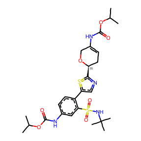 CC(C)OC(=O)NC1=CC[C@@H](c2ncc(-c3ccc(NC(=O)OC(C)C)cc3S(=O)(=O)NC(C)(C)C)s2)OC1